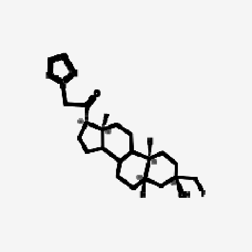 C[C@]12CCC3C(CC[C@H]4C[C@@](O)(CF)CC[C@H]34)C1CC[C@@H]2C(=O)Cn1nccn1